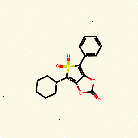 O=c1oc2c(o1)=C(C1CCCCC1)S(=O)(=O)C=2c1ccccc1